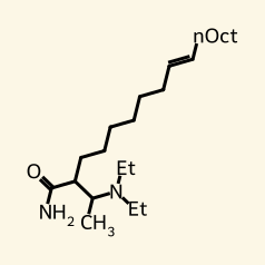 CCCCCCCCC=CCCCCCCC(C(N)=O)C(C)N(CC)CC